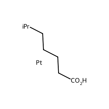 CC(C)CCCCC(=O)O.[Pt]